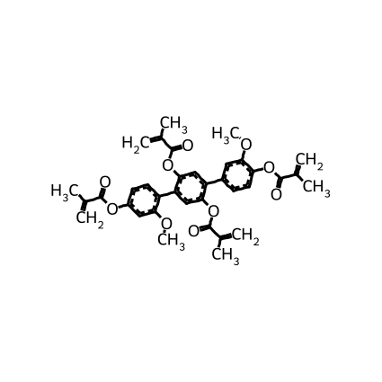 C=C(C)C(=O)Oc1ccc(-c2cc(OC(=O)C(=C)C)c(-c3ccc(OC(=O)C(=C)C)c(OC)c3)cc2OC(=O)C(=C)C)c(OC)c1